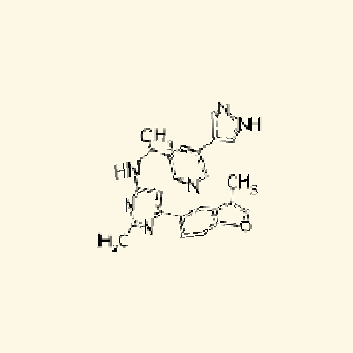 Cc1nc(NC(C)c2cncc(-c3cn[nH]c3)c2)cc(-c2ccc3occ(C)c3c2)n1